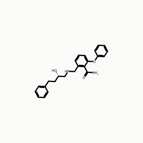 NC(=O)c1c(CNC[C@@H](O)[CH]Cc2ccccc2)cccc1Oc1ccccc1